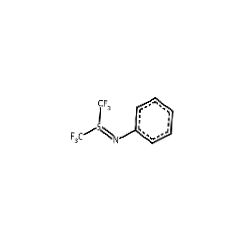 FC(F)(F)S(=Nc1ccccc1)C(F)(F)F